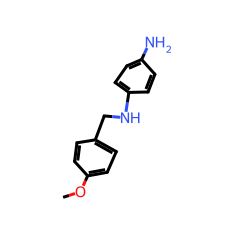 COc1ccc(CNc2ccc(N)cc2)cc1